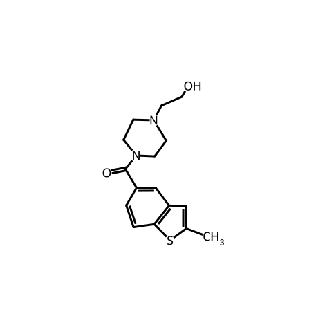 Cc1cc2cc(C(=O)N3CCN(CCO)CC3)ccc2s1